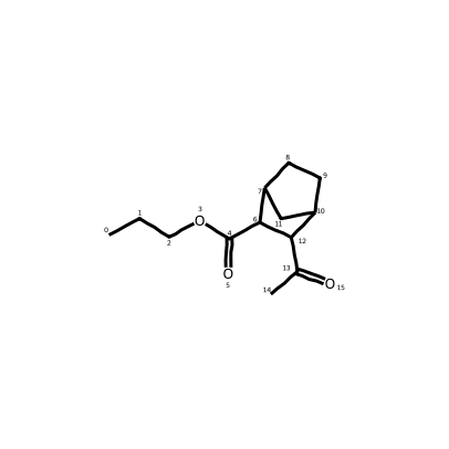 CCCOC(=O)C1C2CCC(C2)C1C(C)=O